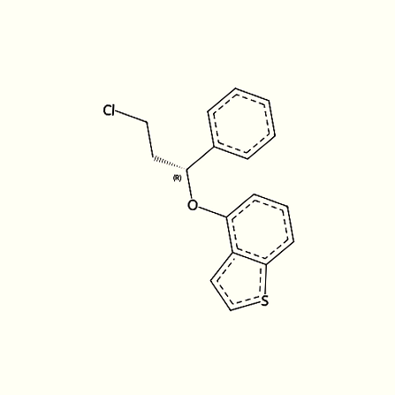 ClCC[C@@H](Oc1cccc2sccc12)c1ccccc1